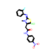 Cl.Cn1c(CC(=O)Nc2ccc([N+](=O)[O-])cc2)cs/c1=N/c1ccccc1F